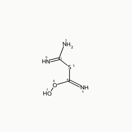 N=C(N)SC(=N)OO